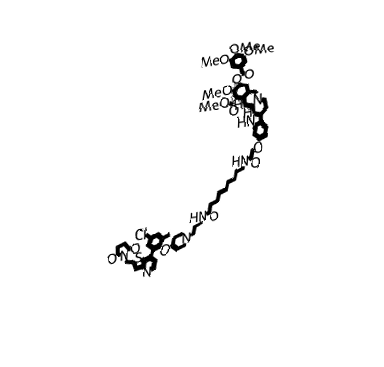 COC(=O)[C@@H]1[C@@H](OC)[C@H](OC(=O)c2cc(OC)c(OC)c(OC)c2)CC2CN3CCc4c([nH]c5cc(OCC(=O)NCCCCCCCCC(=O)NCCCN6CCC(Oc7c(C)cc(Cl)cc7-c7ccnc8cc(CN9C(=O)CCC9=O)sc78)CC6)ccc45)[C@H]3C[C@@H]21